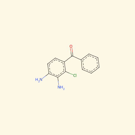 Nc1ccc(C(=O)c2ccccc2)c(Cl)c1N